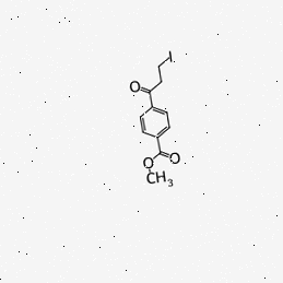 COC(=O)c1ccc(C(=O)CCI)cc1